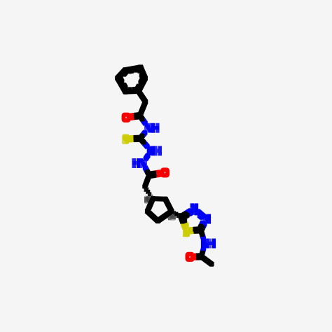 CC(=O)Nc1nnc([C@@H]2CC[C@H](CC(=O)NNC(=S)NC(=O)Cc3ccccc3)C2)s1